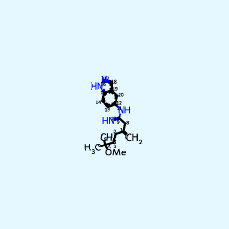 C=C(CCC(C)(C)OC)CC(=N)Nc1ccc2[nH]ncc2c1